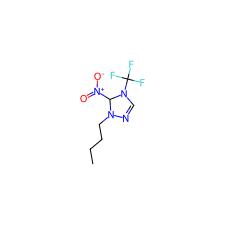 CCCCN1N=CN(C(F)(F)F)C1[N+](=O)[O-]